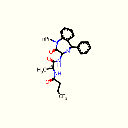 CCCN1C(=O)C(NC(=O)[C@H](C)NC(=O)CCC(F)(F)F)N=C(c2ccccc2)c2ccccc21